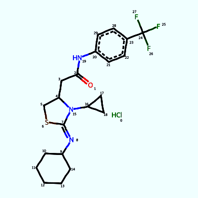 Cl.O=C(CC1CS/C(=N\C2CCCCC2)N1C1CC1)Nc1ccc(C(F)(F)F)cc1